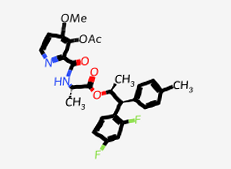 COc1ccnc(C(=O)N[C@@H](C)C(=O)O[C@@H](C)[C@@H](c2ccc(C)cc2)c2ccc(F)cc2F)c1OC(C)=O